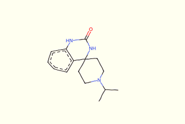 CC(C)N1CCC2(CC1)NC(=O)Nc1ccccc12